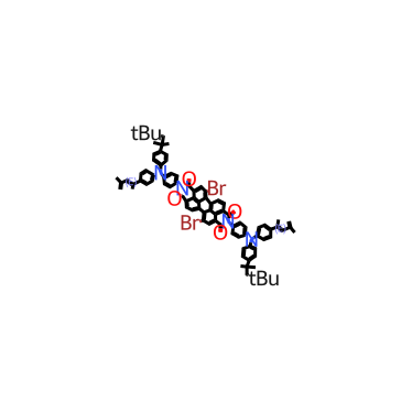 C=C(C)/C=C(\C)c1ccc(N(c2ccc(N3C(=O)c4ccc5c6c(Br)cc7c8c(ccc(c9c(Br)cc(c4c59)C3=O)c86)C(=O)N(c3ccc(N(c4ccc(/C(C)=C/C(=C)C)cc4)c4ccc(C(C)(C)CC(C)(C)C)cc4)cc3)C7=O)cc2)c2ccc(C(C)(C)CC(C)(C)C)cc2)cc1